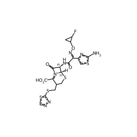 Nc1nc(C(=NOC2CC2F)C(=O)N[C@@H]2C(=O)[N+]3=C(C(=O)O)C(CSc4nncs4)CS[C@@H]23)cs1